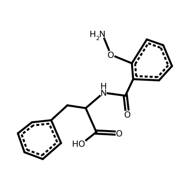 NOc1ccccc1C(=O)NC(Cc1ccccc1)C(=O)O